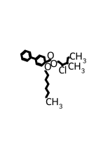 CCCCCCCCOC1(C(=O)OCC(Cl)C(C)CC)C=CC(c2ccccc2)=CC1